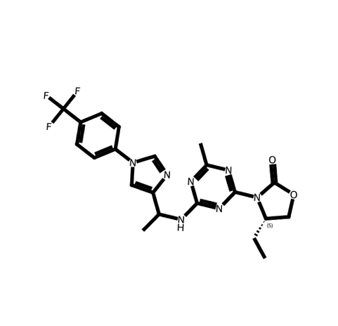 CC[C@H]1COC(=O)N1c1nc(C)nc(NC(C)c2cn(-c3ccc(C(F)(F)F)cc3)cn2)n1